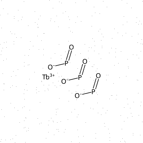 O=P[O-].O=P[O-].O=P[O-].[Tb+3]